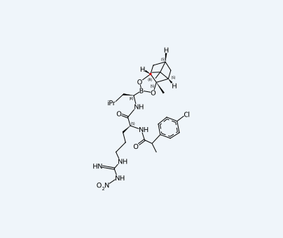 CC(C)C[C@H](NC(=O)[C@H](CCCNC(=N)N[N+](=O)[O-])NC(=O)C(C)c1ccc(Cl)cc1)B1O[C@@H]2C[C@@H]3C[C@@H](C3(C)C)[C@]2(C)O1